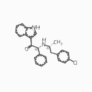 C[C@H](Cc1ccc(Cl)cc1)N[C@@H](C(=O)c1c[nH]c2ccccc12)c1ccccc1